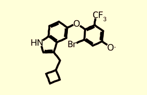 [O]c1cc(Br)c(Oc2ccc3[nH]cc(CC4CCC4)c3c2)c(C(F)(F)F)c1